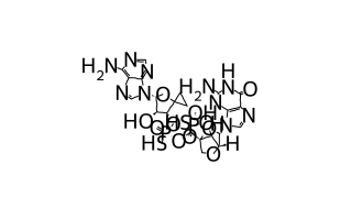 Nc1nc2c(ncn2[C@@H]2O[C@@]3(COP(=O)(S)O[C@H]4[C@@H](O)[C@H](n5cnc6c(N)ncnc65)OC45CC5)CO[C@@H]2[C@@H]3O[P@](=O)(O)S)c(=O)[nH]1